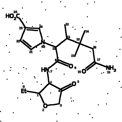 CCC1OCC(=O)C1NC(=O)C(C(C)C(C)(C)CC(N)=O)n1ccc(C(=O)O)c1